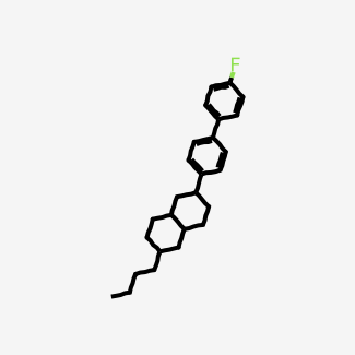 CCCCC1CCC2CC(c3ccc(-c4ccc(F)cc4)cc3)CCC2C1